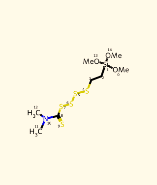 CO[Si](CCSSSSC(=S)N(C)C)(OC)OC